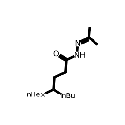 CCCCCCC(CCCC)CCC(=O)NN=C(C)C